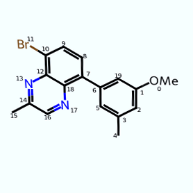 COc1cc(C)cc(-c2ccc(Br)c3nc(C)cnc23)c1